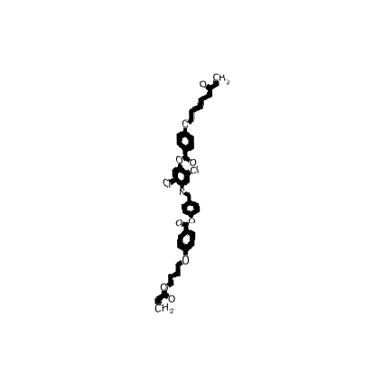 C=CC(=O)CCCCCOc1ccc(C(=O)Oc2cc(Cl)c(/N=C/c3ccc(OC(=O)c4ccc(OCCCCOC(=O)C=C)cc4)cc3)cc2Cl)cc1